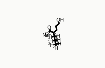 [2H]C([2H])([2H])C([2H])([2H])C([2H])([2H])C(CCCO)C(=O)[O-].[Na+]